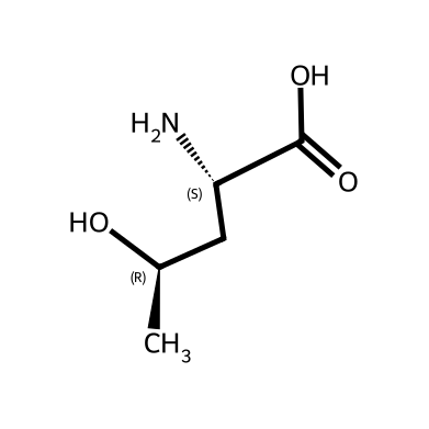 C[C@@H](O)C[C@H](N)C(=O)O